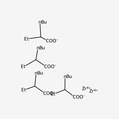 CCCCC(CC)C(=O)[O-].CCCCC(CC)C(=O)[O-].CCCCC(CC)C(=O)[O-].CCCCC(CC)C(=O)[O-].[Zr+4].[Zr+4]